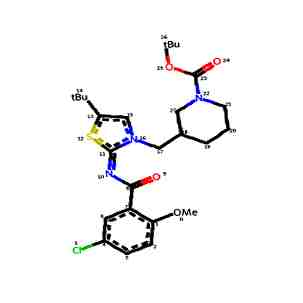 COc1ccc(Cl)cc1C(=O)N=c1sc(C(C)(C)C)cn1CC1CCCN(C(=O)OC(C)(C)C)C1